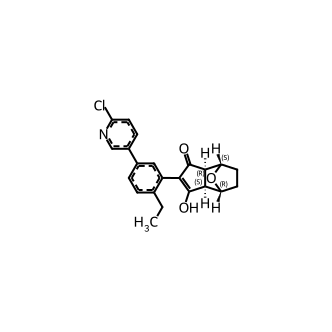 CCc1ccc(-c2ccc(Cl)nc2)cc1C1=C(O)[C@H]2[C@@H](C1=O)[C@@H]1CC[C@H]2O1